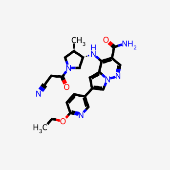 CCOc1ccc(-c2cc3c(N[C@@H]4CN(C(=O)CC#N)C[C@H]4C)c(C(N)=O)cnn3c2)cn1